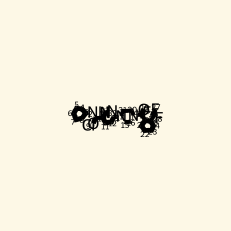 O=C(Nc1ccccc1Cl)c1ccc(N2CCN(C(=O)c3ccccc3C(F)(F)F)CC2)nn1